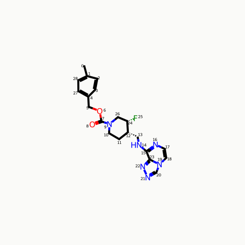 Cc1ccc(COC(=O)N2CC[C@@H](CNc3nccn4cnnc34)[C@@H](F)C2)cc1